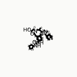 CC1CN([C@@H](C)CO)C(=O)Cc2cc(NC(=O)NC3CCCC3)ccc2O[C@H]1CN(C)Cc1ccncc1